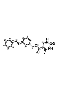 CC1=C(C(=O)OCc2cccc(OCc3ccccc3)c2)CNC(=S)N1